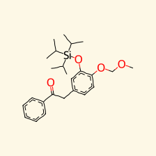 COCOc1ccc(CC(=O)c2ccccc2)cc1O[Si](C(C)C)(C(C)C)C(C)C